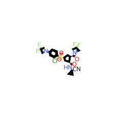 N#CC1(NC(=O)[C@@H]2C[C@@H](S(=O)(=O)c3ccc(N4CC(F)(F)C4)cc3Cl)C[C@H]2C(=O)N2CC(F)(F)C2)CC1